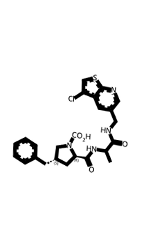 CC(NC(=O)[C@H]1C[C@H](Cc2ccccc2)CN1C(=O)O)C(=O)NCc1cnc2scc(Cl)c2c1